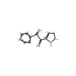 O=C(C(=O)c1ccncc1)C1=CCCO1